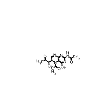 CC(=O)Nc1nc(O)c2c(n1)N=CC(C(O)C(C)=O)N2C(C)=O